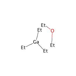 CCOCC.C[CH2][Ga]([CH2]C)[CH2]C